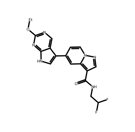 CCOc1ncc2c(-c3ccn4ncc(C(=O)NCC(F)F)c4c3)c[nH]c2n1